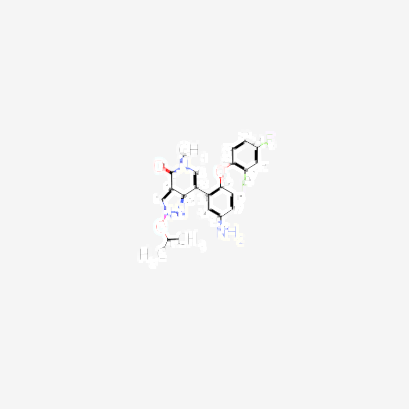 CC(C)On1cc2c(=O)n(C)cc(-c3cc(N)ccc3Oc3ccc(F)cc3F)c2n1